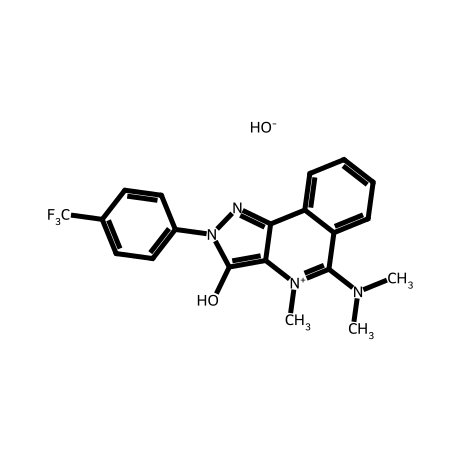 CN(C)c1c2ccccc2c2nn(-c3ccc(C(F)(F)F)cc3)c(O)c2[n+]1C.[OH-]